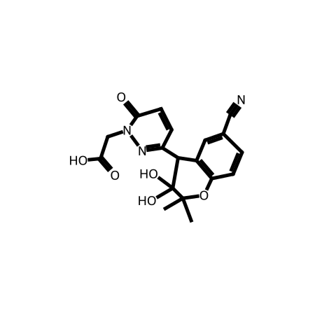 CC1(C)Oc2ccc(C#N)cc2C(c2ccc(=O)n(CC(=O)O)n2)C1(O)O